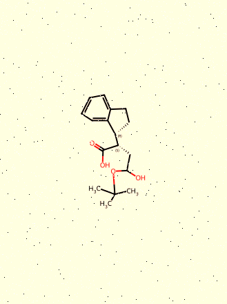 CC(C)(C)OC(O)C[C@H](C(=O)O)[C@H]1CCc2ccccc21